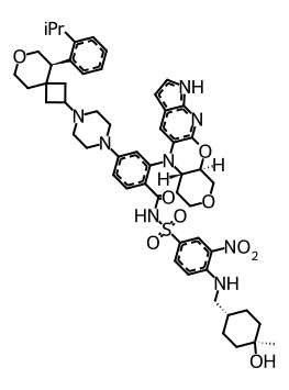 CC(C)c1ccccc1[C@@H]1COCCC12CC(N1CCN(c3ccc(C(=O)NS(=O)(=O)c4ccc(NC[C@H]5CC[C@](C)(O)CC5)c([N+](=O)[O-])c4)c(N4c5cc6cc[nH]c6nc5O[C@H]5COCC[C@@H]54)c3)CC1)C2